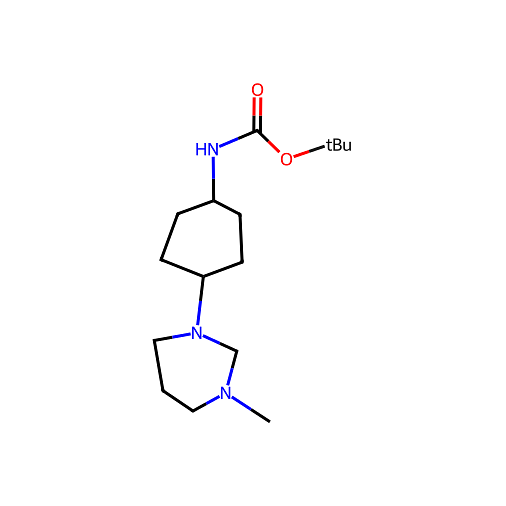 CN1CCCN(C2CCC(NC(=O)OC(C)(C)C)CC2)C1